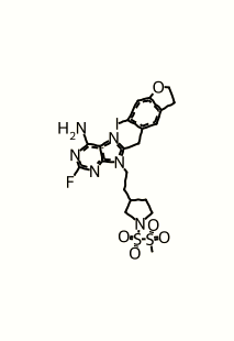 CS(=O)(=O)S(=O)(=O)N1CCC(CCn2c(Cc3cc4c(cc3I)OCC4)nc3c(N)nc(F)nc32)C1